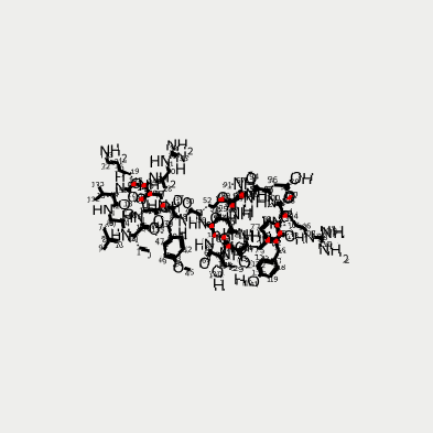 CC[C@H](NC(=O)[C@H](CC(C)C)NC(=O)[C@@H](NC(=O)[C@H](CCCCN)NC(=O)[C@H](CCCNC(=N)N)NC(=O)[C@H](Cc1ccc(OC)cc1)NC(=O)[C@H](CCCNC(=N)N)NC(=O)[C@H](CC(N)=O)NC(=O)[C@@H](NC(=O)[C@H](Cc1ccc(Cl)cc1)NC(=O)[C@@H](NC(=O)[C@H](C)NC(=O)[C@H](CC(=O)O)NC(=O)[C@@H](CCCNC(=N)N)NC(=O)[C@@H](N)Cc1ccc(O)cc1)[C@@H](C)CC)[C@@H](C)O)C(C)C)C(=O)N[C@@H](CCC(N)=O)C(=O)O